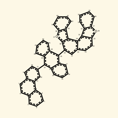 c1ccc2c(c1)ccc1ccc(-c3c4ccccc4c(-c4cc5ccc6oc7ccccc7c6c5c5c4oc4ccccc45)c4ccccc34)cc12